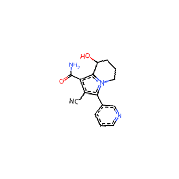 N#Cc1c(C(N)=O)c2n(c1-c1cccnc1)CCCC2O